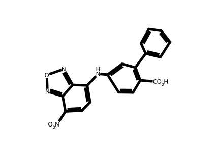 O=C(O)c1ccc(Nc2ccc([N+](=O)[O-])c3nonc23)cc1-c1ccccc1